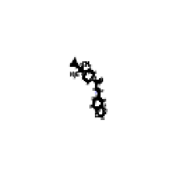 CC(C)(C1CC1)N1CCN(C(=O)/C=C/c2ccc3c(c2)OCO3)CC1